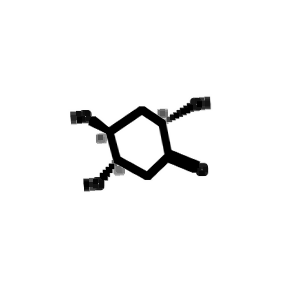 O=C1C[C@H](O)[C@@H](O)C[C@@H]1O